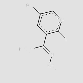 CCOC(=O)/C(=N\N)c1cc(Br)cnc1F